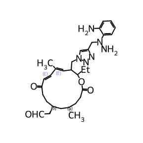 CCC1OC(=O)CC[C@H](C)C[C@@H](CC=O)CCC(=O)/C=C/C(C)=C/C1Cn1cc(CN(N)c2ccccc2N)nn1